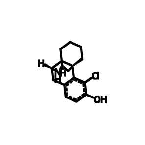 Oc1ccc2c(c1Cl)[C@@]13CCCC[C@H]1[C@@H](C2)NCC3